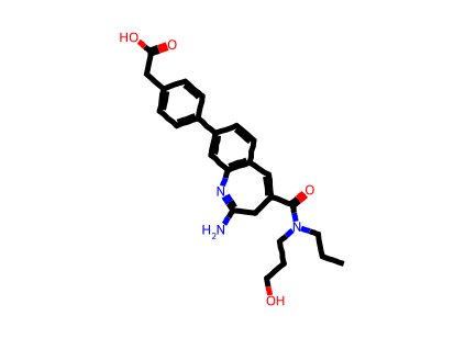 CCCN(CCCO)C(=O)C1=Cc2ccc(-c3ccc(CC(=O)O)cc3)cc2N=C(N)C1